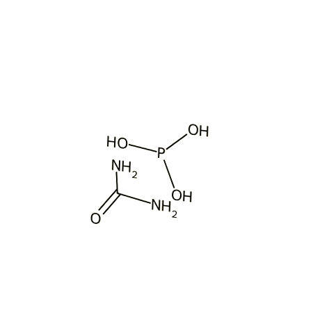 NC(N)=O.OP(O)O